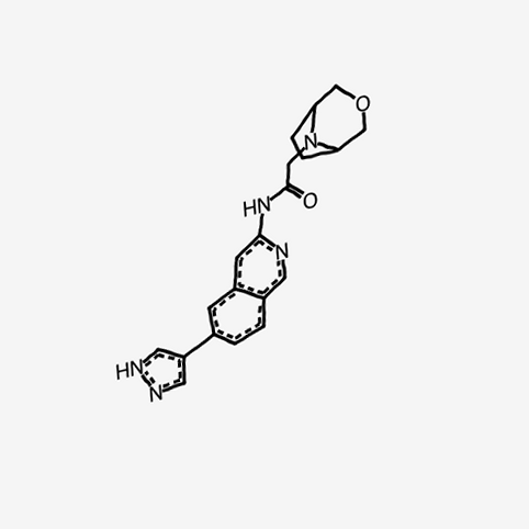 O=C(CN1C2CCC1COC2)Nc1cc2cc(-c3cn[nH]c3)ccc2cn1